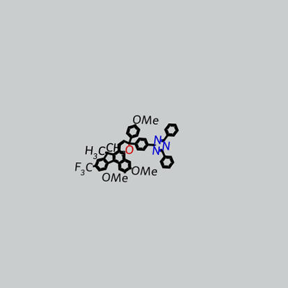 COc1ccc(C2(c3ccc(-c4nc(-c5ccccc5)nc(-c5ccccc5)n4)cc3)C=Cc3c4c(c5cc(OC)c(OC)cc5c3O2)-c2ccc(C(F)(F)F)cc2C4(C)C)cc1